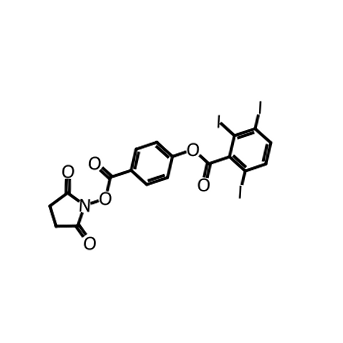 O=C(ON1C(=O)CCC1=O)c1ccc(OC(=O)c2c(I)ccc(I)c2I)cc1